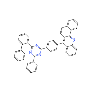 c1ccc(-c2nc(-c3ccc(-c4c5ccccc5nc5c4ccc4ccccc45)cc3)nc(-c3ccccc3-c3ccccc3)n2)cc1